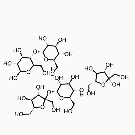 OC[C@H]1O[C@@](CO)(O[C@H]2O[C@H](CO)[C@@H](O)[C@H](O)[C@H]2O)[C@@H](O)[C@@H]1O.OC[C@H]1O[C@H](O[C@H]2[C@H](O)[C@@H](O)[C@H](O)O[C@@H]2CO)[C@H](O)[C@@H](O)[C@@H]1O.OC[C@H]1O[C@](O)(CO)[C@@H](O)[C@@H]1O